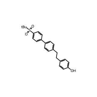 CC(C)(C)S(=O)(=O)c1ccc(-c2ccc(CCc3ccc(O)cc3)cc2)cc1